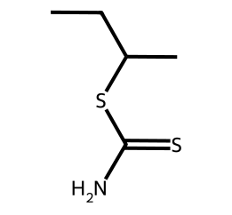 CCC(C)SC(N)=S